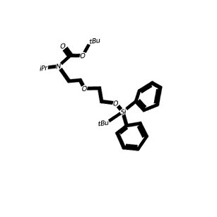 CC(C)N(CCOCCO[Si](c1ccccc1)(c1ccccc1)C(C)(C)C)C(=O)OC(C)(C)C